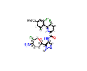 COc1cc(F)c(-c2nc(C(=O)Nc3cnn(C)c3C3CCC(N)[C@@H](F)CO3)ccc2F)c(F)c1